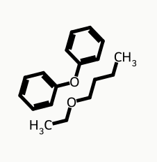 CCCCOCC.c1ccc(Oc2ccccc2)cc1